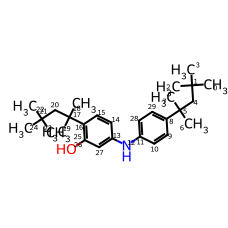 CC(C)(C)CC(C)(C)c1ccc(Nc2ccc(C(C)(C)CC(C)(C)C)c(O)c2)cc1